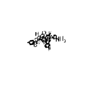 Cc1ccc(S(=O)(=O)OC(=O)c2cn(-c3ccc(F)cc3F)c3nc(N4CCC(N)C4)c(F)cc3c2=O)cc1.O